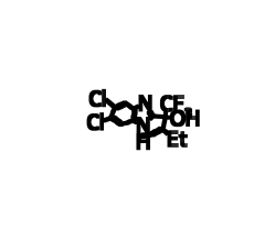 C=C=C(CC)C(O)(c1nc2cc(Cl)c(Cl)cc2[nH]1)C(F)(F)F